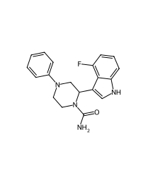 NC(=O)N1CCN(c2ccccc2)CC1c1c[nH]c2cccc(F)c12